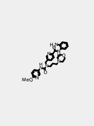 COc1ccc(NC(=O)N(CCCN2CCOCC2)Cc2ccc(C(=O)Nc3ccccc3N)nc2)cn1